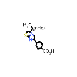 CCCCCC[C@H](C)c1csc2nc(-c3ccc(C(=O)O)cc3)cn12